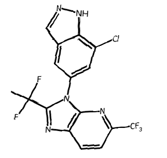 CC(F)(F)c1nc2ccc(C(F)(F)F)nc2n1-c1cc(Cl)c2[nH]ncc2c1